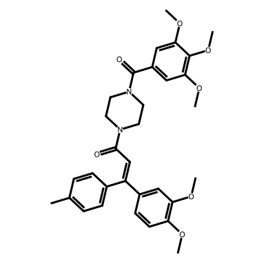 COc1ccc(C(=CC(=O)N2CCN(C(=O)c3cc(OC)c(OC)c(OC)c3)CC2)c2ccc(C)cc2)cc1OC